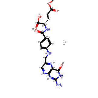 COC(=O)CC[C@H](NC(=O)c1ccc(NCc2cnc3nc(N)[nH]c(=O)c3n2)cc1)C(=O)O.[Ca]